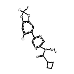 NN(C(=O)C1CCC1)c1cnc(-c2cc3c(cc2Cl)OC(F)(F)O3)cn1